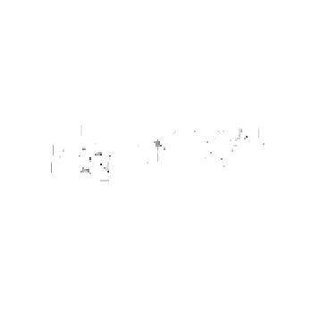 CC(C)(C)S(=O)(=O)NC1CCC(CNCCCc2cccc(N)c2)CC1